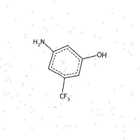 Nc1cc(O)cc(C(F)(F)F)c1